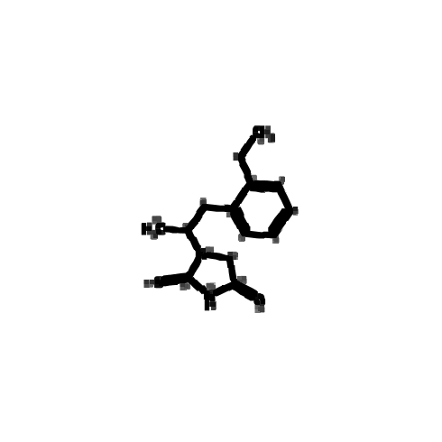 CCc1ccccc1CC(C)N1CC(=O)NC1=S